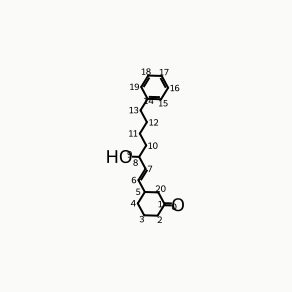 O=C1CCCC(/C=C/C(O)CCCCc2ccccc2)C1